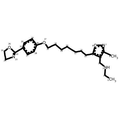 CCNCc1c(C)noc1CCCCCCCOc1ccc(C2=NCCO2)cc1